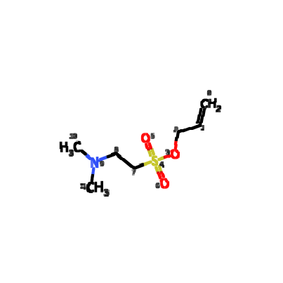 C=CCOS(=O)(=O)CCN(C)C